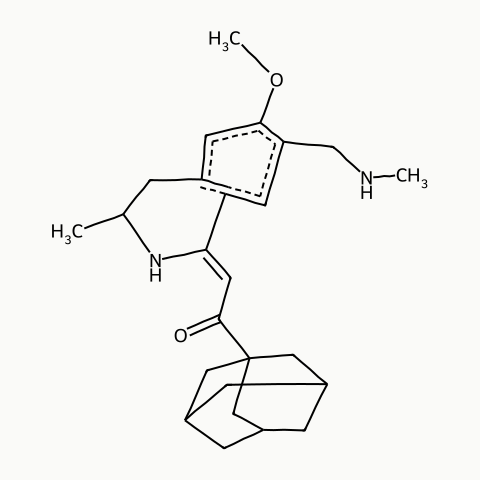 CNCc1cc2c(cc1OC)CC(C)N/C2=C\C(=O)C12CC3CC(CC(C3)C1)C2